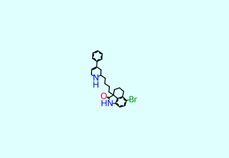 O=C1Nc2ccc(Br)c3c2C1(CCCCC1CC(c2ccccc2)=CCN1)CCC3